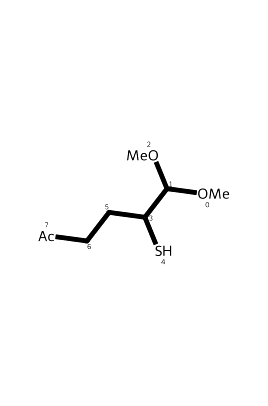 COC(OC)C(S)CCC(C)=O